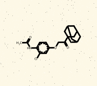 CC(=O)Nc1ccc(OCC(=O)C23CC4CC(CC(C4)C2)C3)cc1Cl